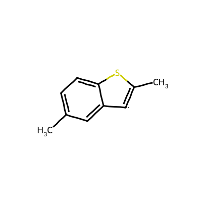 Cc1ccc2sc(C)[c]c2c1